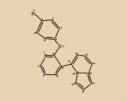 CCc1ccc(Oc2ncccc2-c2cccc3ccnn23)cc1